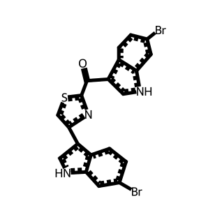 O=C(c1nc(-c2c[nH]c3cc(Br)ccc23)cs1)c1c[nH]c2cc(Br)ccc12